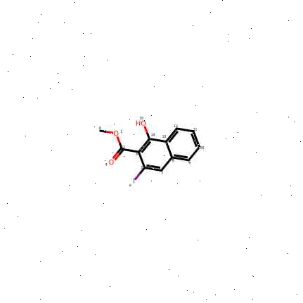 COC(=O)c1c(I)cc2ccccc2c1O